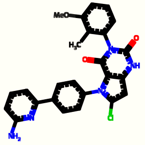 COc1cccc(-n2c(=O)[nH]c3cc(Cl)n(-c4ccc(-c5cccc(N)n5)cc4)c3c2=O)c1C